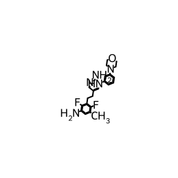 Cc1cc(N)c(F)c(CCC(/C=N\CN)=C/Nc2cccc(N3CCOCC3)c2)c1F